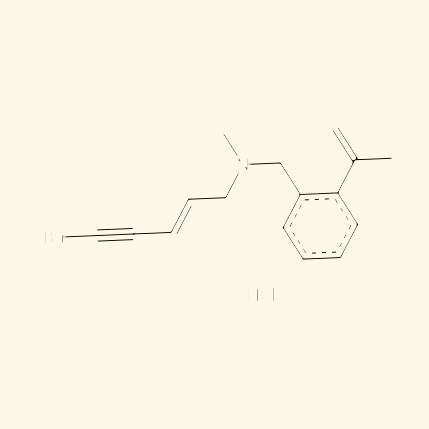 C=C(C)c1ccccc1CN(C)C/C=C/C#CC(C)(C)C.Cl